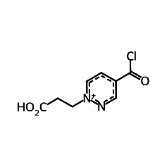 O=C(O)CC[n+]1ccc(C(=O)Cl)cn1